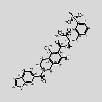 CS(=O)(=O)c1cccc(C[C@H](NC(=O)c2c(Cl)cc3c(c2Cl)CCN(C(=O)c2ccc4ccoc4c2)C3)C(=O)P)c1